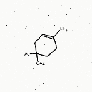 CC(=O)OC1(C(C)=O)CC=C(C)CC1